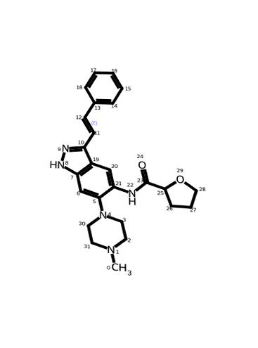 CN1CCN(c2cc3[nH]nc(/C=C/c4ccccc4)c3cc2NC(=O)C2CCCO2)CC1